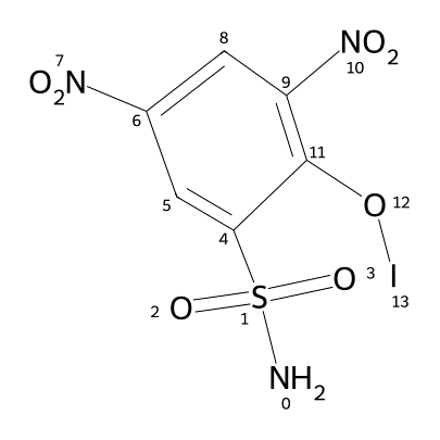 NS(=O)(=O)c1cc([N+](=O)[O-])cc([N+](=O)[O-])c1OI